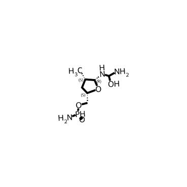 C[C@H]1C[C@@H](CO[PH](N)=O)O[C@H]1NC(N)O